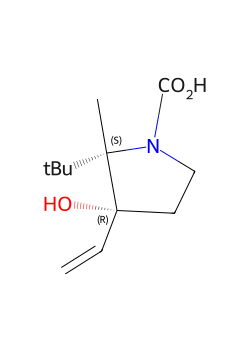 C=C[C@]1(O)CCN(C(=O)O)[C@@]1(C)C(C)(C)C